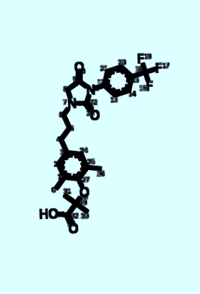 Cc1cc(CCCN2CC(=O)N(c3ccc(C(F)(F)F)cc3)C2=O)cc(C)c1OC(C)(C)C(=O)O